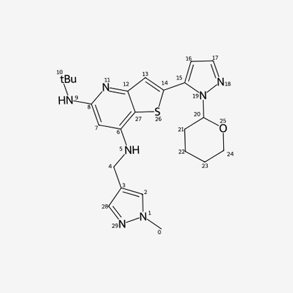 Cn1cc(CNc2cc(NC(C)(C)C)nc3cc(-c4ccnn4C4CCCCO4)sc23)cn1